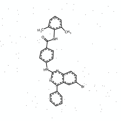 Cc1cccc(C)c1NC(=O)c1ccc(Nc2nc(-c3ccccc3)c3cc(Br)ccc3n2)cc1